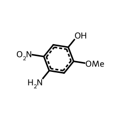 COc1cc(N)c([N+](=O)[O-])cc1O